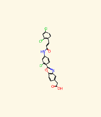 O=C(O)Cc1ccc2oc(-c3ccc(NC(=O)C=Cc4ccc(Cl)cc4Cl)cc3Cl)nc2c1